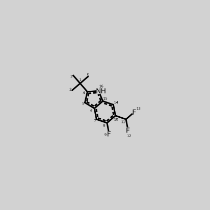 CC(C)(C)c1cc2cc(F)c(C(F)F)cc2[nH]1